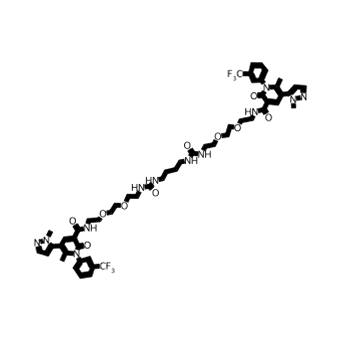 Cc1c(-c2ccnn2C)cc(C(=O)NCCOCCOCCNC(=O)NCCCCNC(=O)NCCOCCOCCNC(=O)c2cc(-c3ccnn3C)c(C)n(-c3cccc(C(F)(F)F)c3)c2=O)c(=O)n1-c1cccc(C(F)(F)F)c1